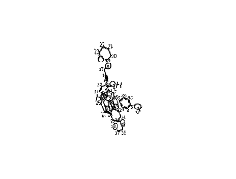 COc1ccc([C@H]2C[C@@]3(C)[C@@H](C=C[C@@]3(O)C#CCOC3CCCCO3)[C@@H]3CC=C4CC5(CC[C@@H]4[C@H]32)OCCO5)cc1